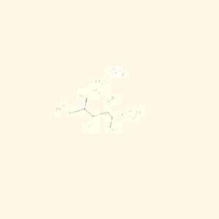 O.O.O.O=C(O)[C@H](O)[C@@H](O)[C@H](O)[C@H](O)CO